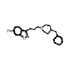 Fc1ccc2c(CCCN3CCC(Cc4ccccc4)CC3)noc2c1